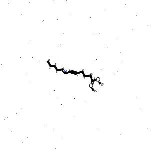 CCCC/C=C/C#CCCCC(OC)OC